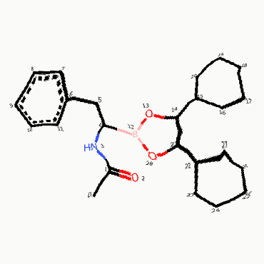 CC(=O)NC(Cc1ccccc1)B1OC(C2CCCCC2)C(C2CCCCC2)O1